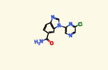 NC(=O)c1ccc2ncn(-c3cncc(Cl)n3)c2c1